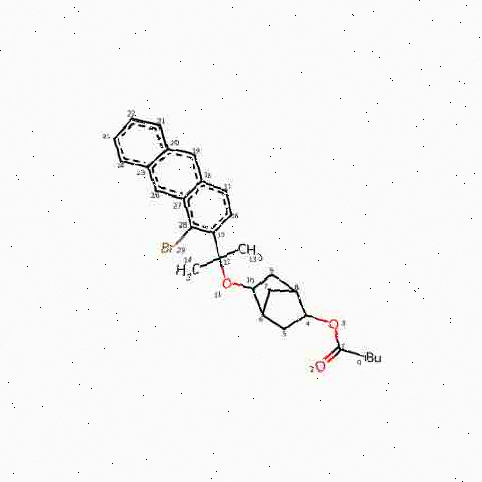 CCC(C)C(=O)OC1CC2CC1CC2OC(C)(C)c1ccc2cc3ccccc3cc2c1Br